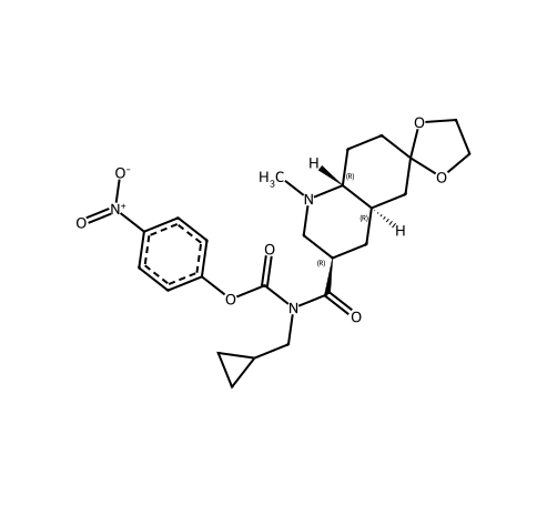 CN1C[C@H](C(=O)N(CC2CC2)C(=O)Oc2ccc([N+](=O)[O-])cc2)C[C@@H]2CC3(CC[C@H]21)OCCO3